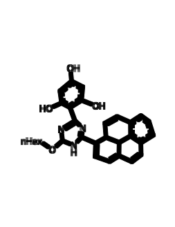 CCCCCCOC1N=C(c2c(O)cc(O)cc2O)N=C(C2=CC=C3C=Cc4cccc5c4C3C2C=C5)N1